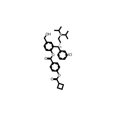 CC(C)N(CC[C@H](c1ccccc1)c1cc(CO)ccc1OC(=O)c1ccc(OC(=O)C2CCC2)cc1)C(C)C.Cl